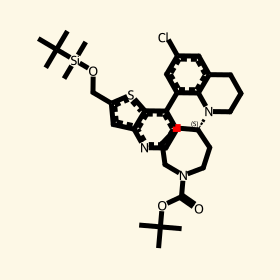 CC(C)(C)OC(=O)N1CCC[C@H](N2CCCc3cc(Cl)cc(-c4ccnc5cc(CO[Si](C)(C)C(C)(C)C)sc45)c32)CC1